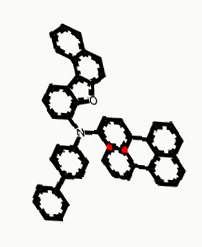 c1ccc(-c2ccc(N(c3ccc(-c4cccc5cccc(-c6ccccc6)c45)cc3)c3cccc4c3oc3ccc5ccccc5c34)cc2)cc1